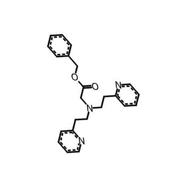 O=C(CN(CCc1ccccn1)CCc1ccccn1)OCc1ccccc1